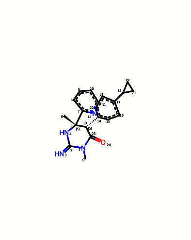 CN1C(=N)N[C@](C)(c2ccccn2)[C@H](c2ccc(C3CC3)cc2)C1=O